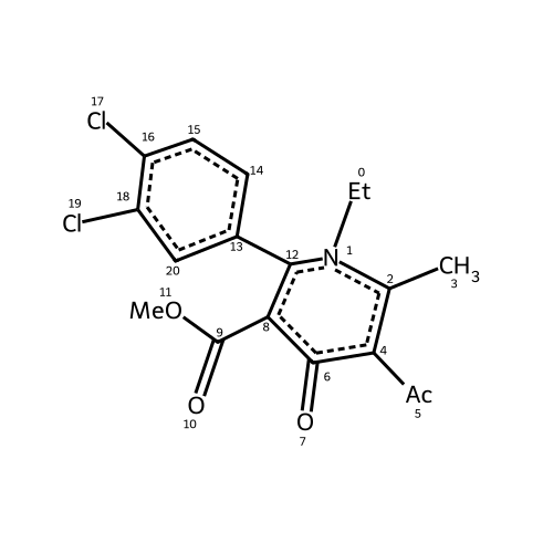 CCn1c(C)c(C(C)=O)c(=O)c(C(=O)OC)c1-c1ccc(Cl)c(Cl)c1